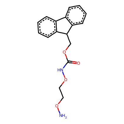 NOCCONC(=O)OCC1c2ccccc2-c2ccccc21